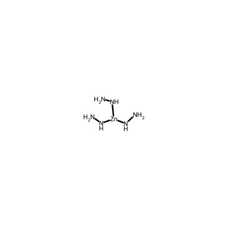 N[NH][Zn]([NH]N)[NH]N